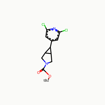 CC(C)(C)OC(=O)N1CC2C(C1)C2c1cc(Cl)nc(Cl)c1